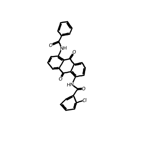 O=C(Nc1cccc2c1C(=O)c1cccc(NC(=O)c3ccccc3Cl)c1C2=O)c1ccccc1